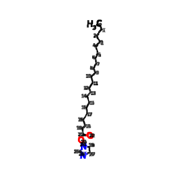 CCCCCCCCCCCCCCCCCCCCCC(=O)ON1C=NCC1